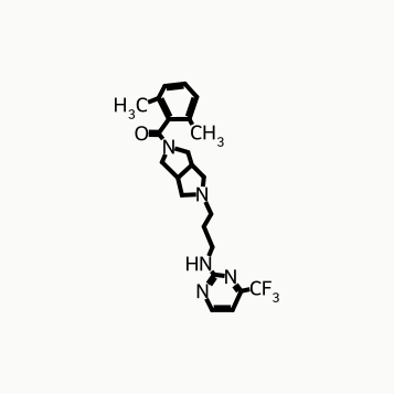 Cc1cccc(C)c1C(=O)N1CC2CN(CCCNc3nccc(C(F)(F)F)n3)CC2C1